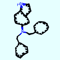 c1ccc(CN(Cc2ccccc2)c2ccc3[nH]ccc3c2)cc1